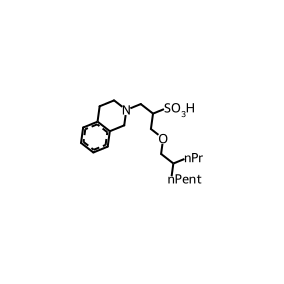 CCCCCC(CCC)COCC(CN1CCc2ccccc2C1)S(=O)(=O)O